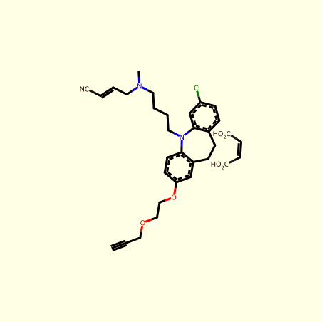 C#CCOCCOc1ccc2c(c1)CCc1ccc(Cl)cc1N2CCCCN(C)C/C=C/C#N.O=C(O)/C=C\C(=O)O